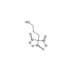 O=[N+]([O-])C(CCCO)([N+](=O)[O-])[N+](=O)[O-]